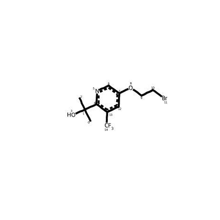 CC(C)(O)c1ncc(OCCBr)cc1C(F)(F)F